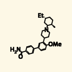 CC[C@@H]1CC[C@@H](C)[C@@H](N2CCC(c3cc(-c4ccc(C(N)=O)cc4)ccc3OC)CC2)C1